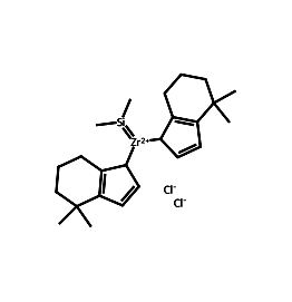 C[Si](C)=[Zr+2]([CH]1C=CC2=C1CCCC2(C)C)[CH]1C=CC2=C1CCCC2(C)C.[Cl-].[Cl-]